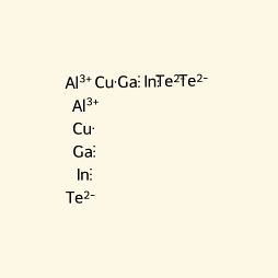 [Al+3].[Al+3].[Cu].[Cu].[Ga].[Ga].[In].[In].[Te-2].[Te-2].[Te-2]